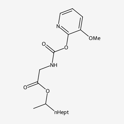 CCCCCCCC(C)OC(=O)CNC(=O)Oc1ncccc1OC